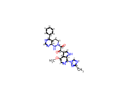 COc1cnc(-n2cnc(C)n2)c2[nH]cc(C(=O)C(=O)N3CCc4c(ncnc4-c4ccccc4)N3)c12